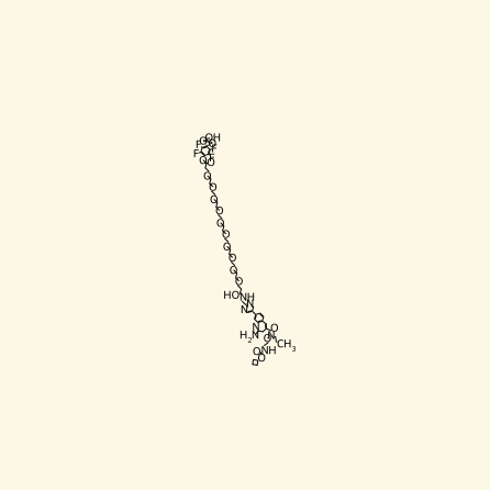 CCCN(OCCNC(=O)OC1CCC1)C(=O)C1=Cc2ccc(-c3cnc(CNC(O)CCOCCOCCOCCOCCOCCOCCOCCOCCOCCOCCC(=O)Oc4c(F)c(F)c(S(=O)(=O)O)c(F)c4F)nc3)cc2N=C(N)C1